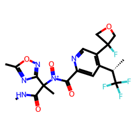 CNC(=O)C(C)(c1noc(C)n1)[N+](=O)C(=O)c1cc([C@H](C)C(F)(F)F)c(C2(F)COC2)cn1